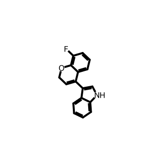 Fc1cccc2c1OCC=C2c1c[nH]c2ccccc12